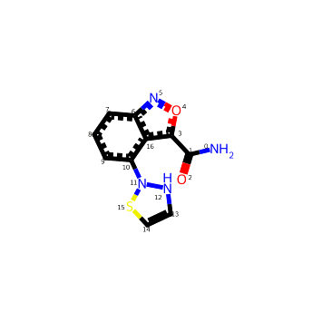 NC(=O)c1onc2cccc(N3NC=CS3)c12